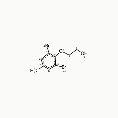 Cc1cc(Br)c(OCCO)c(Br)c1